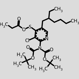 CCCCC(CC)Cc1cnc(N(C(=O)OC(C)(C)C)C(=O)OC(C)(C)C)c(Cl)c1SOC(=O)CC